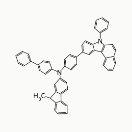 CC1c2ccccc2-c2ccc(N(c3ccc(-c4ccccc4)cc3)c3ccc(-c4ccc5c(c4)c4c6ccccc6ccc4n5-c4ccccc4)cc3)cc21